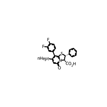 CCCCCCCc1cc(=O)n2c(c1-c1ccc(F)c(F)c1)S[C@H](c1ccccc1)[C@H]2C(=O)O